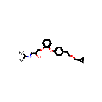 CC(C)NCC(O)COc1ccccc1Oc1ccc(CCOCC2CC2)cc1